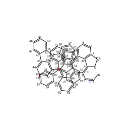 C/C=C\C(=C1/CSc2cccc(-c3c4ccccc4c(-c4ccccc4)c4ccccc34)c21)c1c2ccccc2c(-c2cccc3c4ccccc4n(-c4ccccc4)c23)c2ccccc12